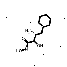 N[C@H](CC1CCCCC1)C(O)C(=O)NO